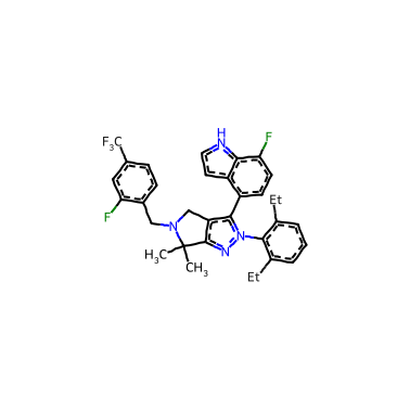 CCc1cccc(CC)c1-n1nc2c(c1-c1ccc(F)c3[nH]ccc13)CN(Cc1ccc(C(F)(F)F)cc1F)C2(C)C